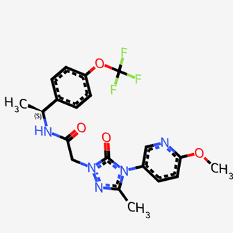 COc1ccc(-n2c(C)nn(CC(=O)N[C@@H](C)c3ccc(OC(F)(F)F)cc3)c2=O)cn1